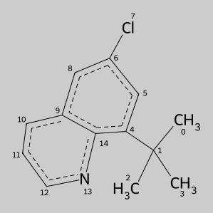 CC(C)(C)c1cc(Cl)cc2cccnc12